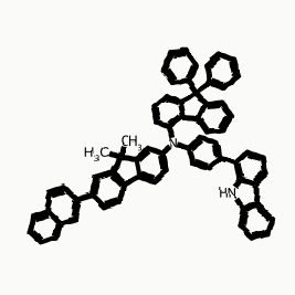 CC1(C)c2cc(-c3ccc4ccccc4c3)ccc2-c2ccc(N(c3ccc(-c4cccc5c4[nH]c4ccccc45)cc3)c3cccc4c3-c3ccccc3C4(c3ccccc3)c3ccccc3)cc21